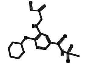 C=C(C=O)CNc1cc(C(=O)NS(C)(=O)=O)ccc1OC1CCCCC1